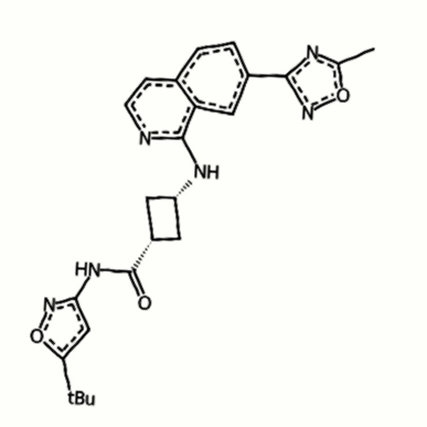 Cc1nc(-c2ccc3ccnc(N[C@H]4C[C@@H](C(=O)Nc5cc(C(C)(C)C)on5)C4)c3c2)no1